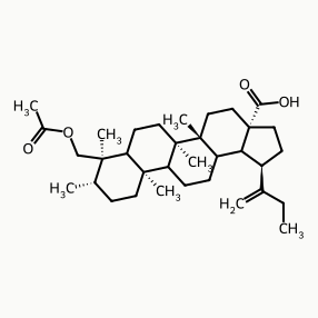 C=C(CC)[C@@H]1CC[C@]2(C(=O)O)CC[C@]3(C)C(CCC4[C@@]5(C)CC[C@H](C)[C@@](C)(COC(C)=O)C5CC[C@]43C)C12